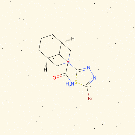 NC(=O)CC1[C@@H]2CCC[C@H]1CN(c1nnc(Br)s1)C2